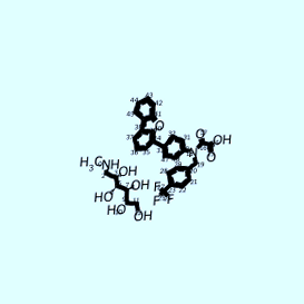 CNC[C@H](O)[C@@H](O)[C@H](O)[C@H](O)CO.O=C(O)C(=O)N(Cc1ccc(C(F)(F)F)cc1)c1ccc(-c2cccc3c2oc2ccccc23)cc1